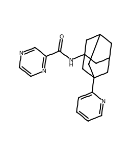 O=C(NC12CC3CC(C1)CC(c1ccccn1)(C3)C2)c1cnccn1